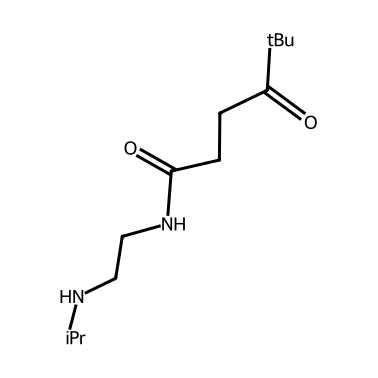 CC(C)NCCNC(=O)CCC(=O)C(C)(C)C